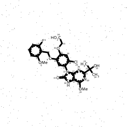 COc1cccc(F)c1COc1cc(-n2c(=O)[nH]c3c(OC)nc(C(C)(C)O)nc32)c(Cl)cc1OCC(=O)O